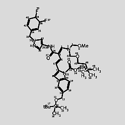 COCN(/C=C(\C=C\c1cc2cc(CO[Si](C)(C)C(C)(C)C)ccc2n1C(=O)OC(C)(C)C)C(=O)Nc1cnn(CC2=CC(F)C(F)C=C2)c1)COCC[Si](C)(C)C